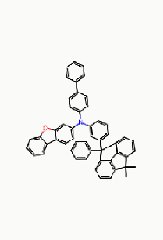 CC1(C)c2cccc3c2-c2c1cccc2C3(c1ccccc1)c1cccc(N(c2ccc(-c3ccccc3)cc2)c2ccc3c(c2)oc2ccccc23)c1